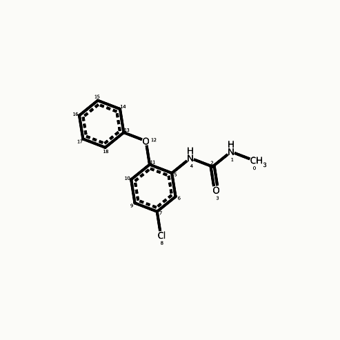 CNC(=O)Nc1cc(Cl)ccc1Oc1ccccc1